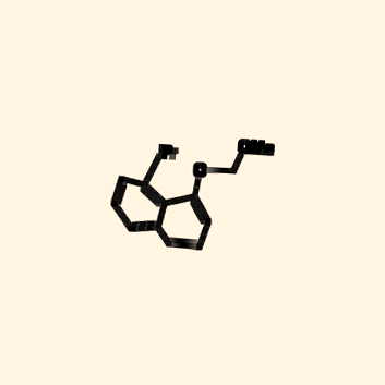 COCOc1cccc2cccc(C(C)C)c12